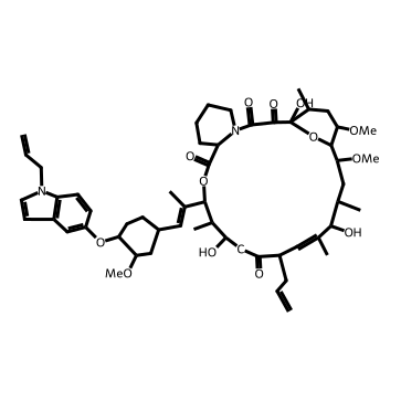 C=CCC1/C=C(\C)C(O)C(C)CC(OC)C2OC(O)(C(=O)C(=O)N3CCCCC3C(=O)OC(C(C)=CC3CCC(Oc4ccc5c(ccn5CC=C)c4)C(OC)C3)C(C)C(O)CC1=O)C(C)CC2OC